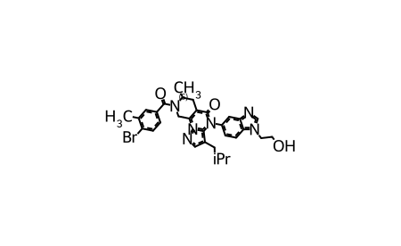 Cc1cc(C(=O)N2Cc3c(c(=O)n(-c4ccc5c(c4)ncn5CCO)c4c(CC(C)C)cnn34)C[C@@H]2C)ccc1Br